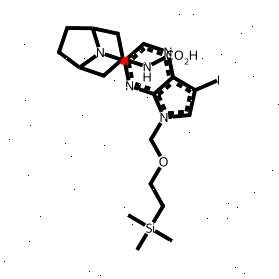 C[Si](C)(C)CCOCn1cc(I)c2ncc(N3C4CCC3CC(NC(=O)O)C4)nc21